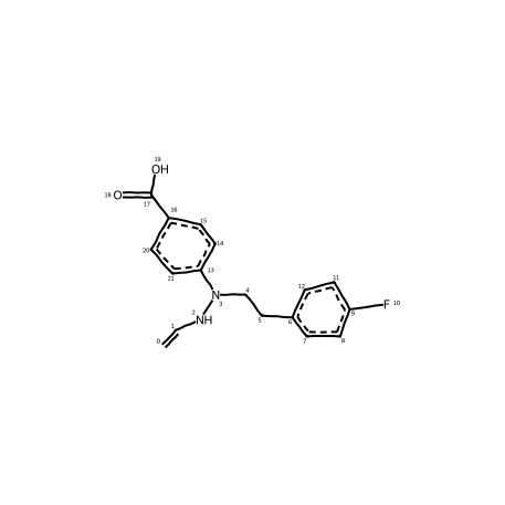 C=CNN(CCc1ccc(F)cc1)c1ccc(C(=O)O)cc1